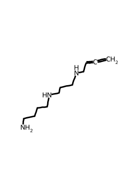 C=C=CCNCCCNCCCCN